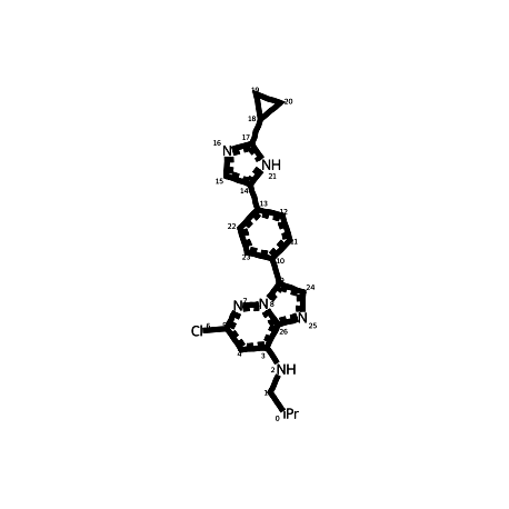 CC(C)CNc1cc(Cl)nn2c(-c3ccc(-c4cnc(C5CC5)[nH]4)cc3)cnc12